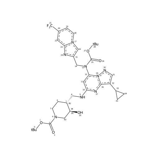 CC(C)(C)OC(=O)N1CC[C@H](CNc2cc(N(Cc3cn4ccc(C(F)(F)F)cc4n3)C(=O)OC(C)(C)C)n3ncc(C4CC4)c3n2)[C@@H](O)C1